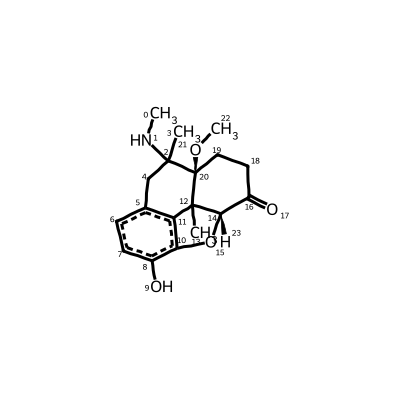 CNC1(C)Cc2ccc(O)c3c2C2(C)[C@@H](O3)C(=O)CC[C@@]12OC